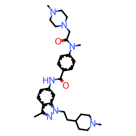 Cc1nn(CCC2CCN(C)CC2)c2cc(NC(=O)c3ccc(N(C)C(=O)CN4CCN(C)CC4)cc3)ccc12